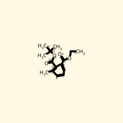 CCOC(=O)c1cccc(C)c1C(=O)OC(C)(C)C